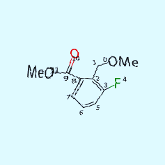 COCc1c(F)cccc1C(=O)OC